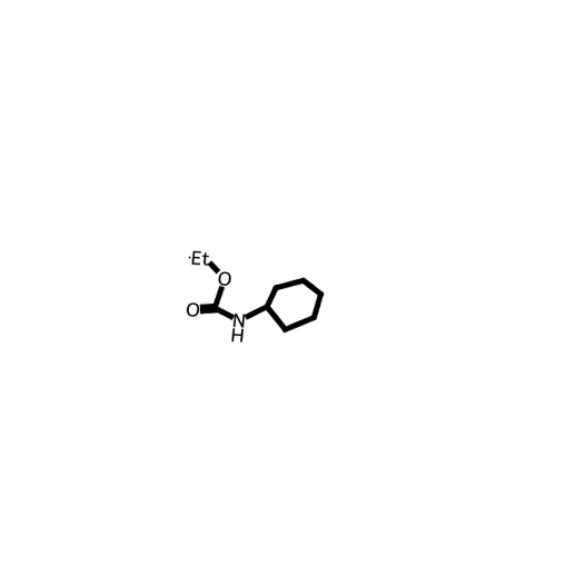 C[CH]OC(=O)NC1CCCCC1